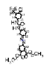 CCOC(=O)c1ccc(/N=N/c2cccc(NC(=O)Nc3ccc(Cl)c(C(F)(F)F)c3)c2)cc1C(=O)OCC